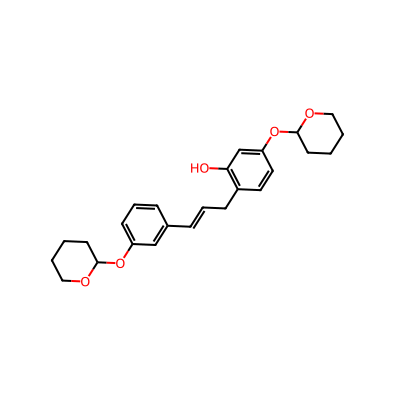 Oc1cc(OC2CCCCO2)ccc1C/C=C/c1cccc(OC2CCCCO2)c1